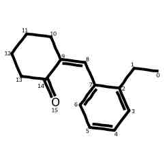 CCc1ccccc1C=C1CCCCC1=O